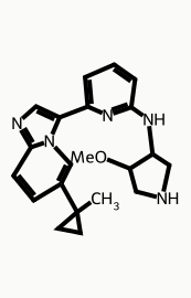 COC1CNCC1Nc1cccc(-c2cnc3ccc(C4(C)CC4)cn23)n1